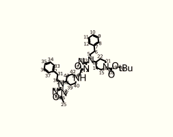 Cc1nc(N(CCc2ccccc2)C2CCN(C(=O)OC(C)(C)C)CC2)no1.Cc1nc(N(CCc2ccccc2)C2CCNCC2)no1